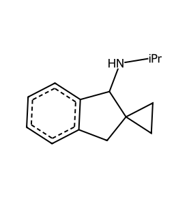 CC(C)NC1c2ccccc2CC12CC2